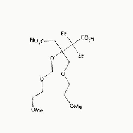 CCC(CC)(C(=O)O)C(COCCOC)(CC(=O)O)OCOCCOC